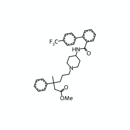 COC(=O)CC(C)(CCCN1CCC(NC(=O)c2ccccc2-c2ccc(C(F)(F)F)cc2)CC1)c1ccccc1